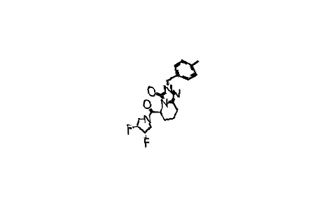 Cc1ccc(Cn2nc3n(c2=O)[C@H](C(=O)N2C[C@H](F)[C@@H](F)C2)CCC3)cc1